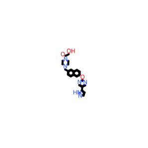 O=C(CO)N1CCN(Cc2ccc3cc(Oc4ncc(-c5ccn[nH]5)cn4)ccc3c2)CC1